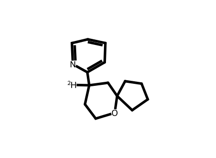 [2H]C1(c2ccccn2)CCOC2(CCCC2)C1